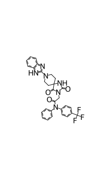 O=C1NC2(CCN(c3nc4ccccc4[nH]3)CC2)C(=O)N1CC(=O)N(c1ccccc1)c1ccc(C(F)(F)F)cc1